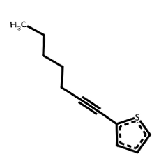 CCCCCC#Cc1cccs1